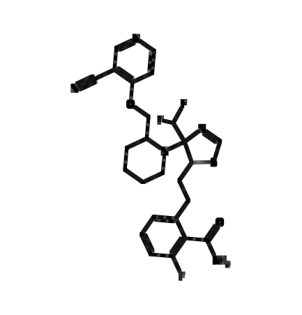 N#Cc1cnccc1OCC1CCCCN1C1(C(F)F)N=CSC1CCc1cccc(F)c1C(N)=O